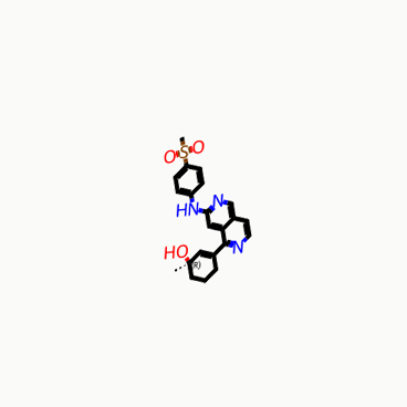 C[C@]1(O)C=C(c2nccc3cnc(Nc4ccc(S(C)(=O)=O)cc4)cc23)CCC1